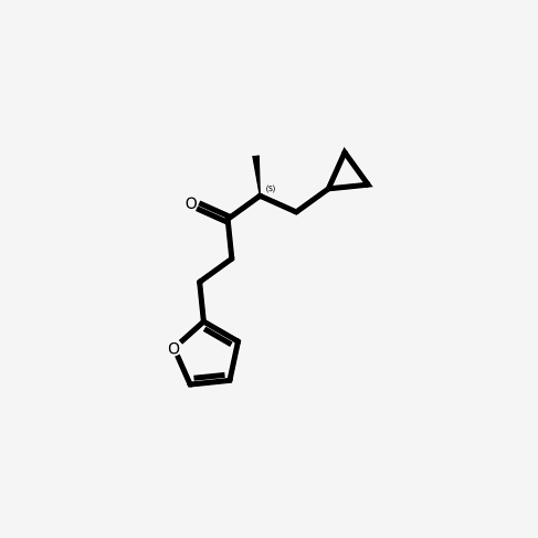 C[C@@H](CC1CC1)C(=O)CCc1ccco1